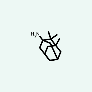 CC12CC3CC(C1)CC(N)(C3)C2(C)C